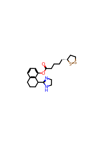 O=C(CCCC[C@@H]1CCSS1)Oc1cccc2c1C(C1=NCCN1)CCC2